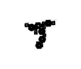 O=C(Oc1ccc(Cl)cc1)N1CCc2c([nH]c3c2=CC(Cl)CC=3)[C@@H]1c1ccc(OC2CCN(c3ncccn3)CC2)cc1